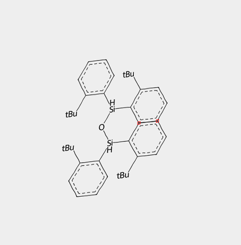 CC(C)(C)c1ccccc1[SiH](O[SiH](c1ccccc1C(C)(C)C)c1ccccc1C(C)(C)C)c1ccccc1C(C)(C)C